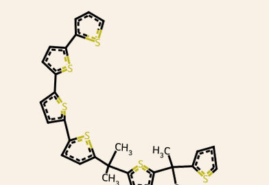 CC(C)(c1cccs1)c1ccc(C(C)(C)c2ccc(-c3ccc(-c4ccc(-c5cccs5)s4)s3)s2)s1